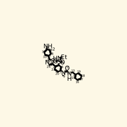 CCNS(=O)(=O)c1cc(N(C)C(=O)NCc2ccccc2)ccc1-c1cnc(-c2ccc(N)cc2)s1